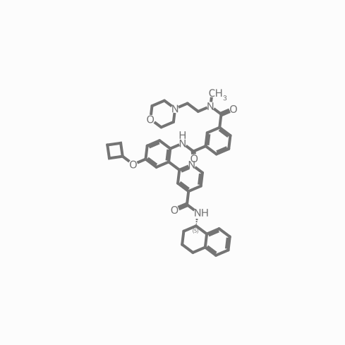 CN(CCN1CCOCC1)C(=O)c1cccc(C(=O)Nc2ccc(OC3CCC3)cc2-c2cc(C(=O)N[C@H]3CCCc4ccccc43)ccn2)c1